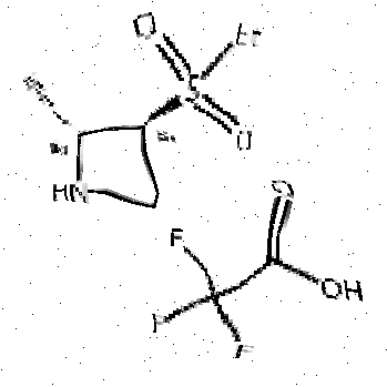 CCS(=O)(=O)[C@H]1CN[C@@H]1C.O=C(O)C(F)(F)F